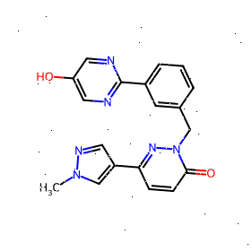 Cn1cc(-c2ccc(=O)n(Cc3cccc(-c4ncc(O)cn4)c3)n2)cn1